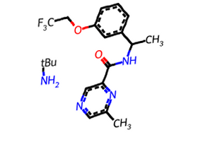 CC(C)(C)N.Cc1cncc(C(=O)NC(C)c2cccc(OCC(F)(F)F)c2)n1